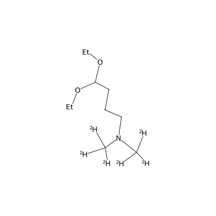 [2H]C([2H])([2H])N(CCCC(OCC)OCC)C([2H])([2H])[2H]